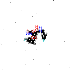 Cc1cc(F)ccc1CC(C)(C)NCC(O)c1cc(OC(=O)CC(c2ccc(F)cc2C)C(C)C)cc2c1OCC(=O)N2